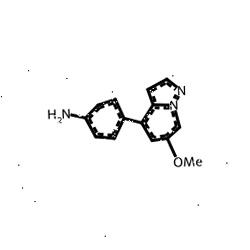 COc1cc(-c2ccc(N)cc2)c2ccnn2c1